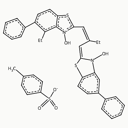 CCC(=Cc1sc2ccc(-c3ccccc3)c(CC)c2[n+]1O)C=C1Sc2ccc(-c3ccccc3)cc2N1O.Cc1ccc(S(=O)(=O)[O-])cc1